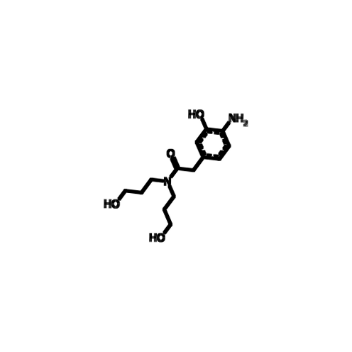 Nc1ccc(CC(=O)N(CCCO)CCCO)cc1O